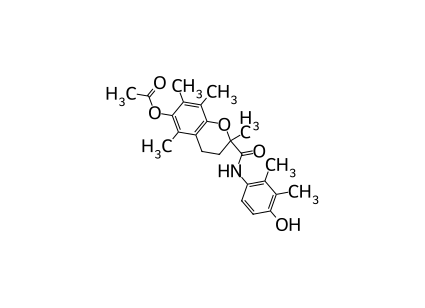 CC(=O)Oc1c(C)c(C)c2c(c1C)CCC(C)(C(=O)Nc1ccc(O)c(C)c1C)O2